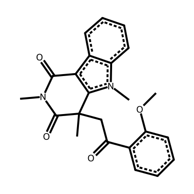 COc1ccccc1C(=O)CC1(C)C(=O)N(C)C(=O)c2c1n(C)c1ccccc21